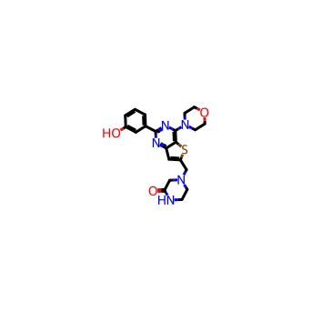 O=C1CN(Cc2cc3nc(-c4cccc(O)c4)nc(N4CCOCC4)c3s2)CCN1